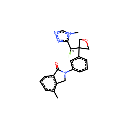 Cc1cccc2c1CN(c1cccc(C3([C@@H](F)c4nncn4C)COC3)c1)C2=O